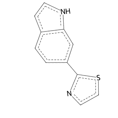 c1csc(-c2ccc3cc[nH]c3c2)n1